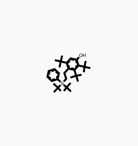 CC(C)(C)c1cc(O)c(C(C)(C)C)c(C(C)(C)C)c1CC[Si](c1ccccc1)(C(C)(C)C)C(C)(C)C